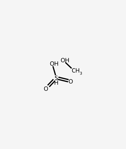 CO.O=[SH](=O)O